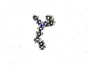 c1ccc(-c2ccc(N(c3ccc(-c4ccc(-c5cccc(-c6ccc7ccccc7c6)c5)cc4)cc3)c3ccc(-c4cccc5sc6ccccc6c45)cc3)cc2)cc1